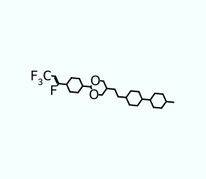 CC1CCC(C2CCC(CCC3COC(C4CCC(/C(F)=C/C(F)(F)F)CC4)OC3)CC2)CC1